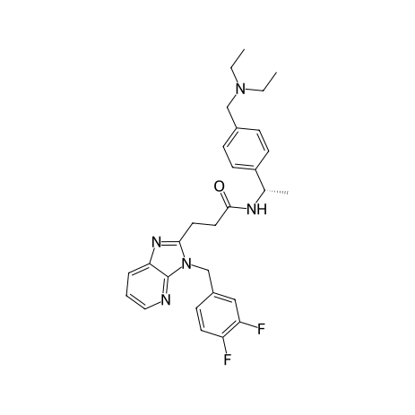 CCN(CC)Cc1ccc([C@H](C)NC(=O)CCc2nc3cccnc3n2Cc2ccc(F)c(F)c2)cc1